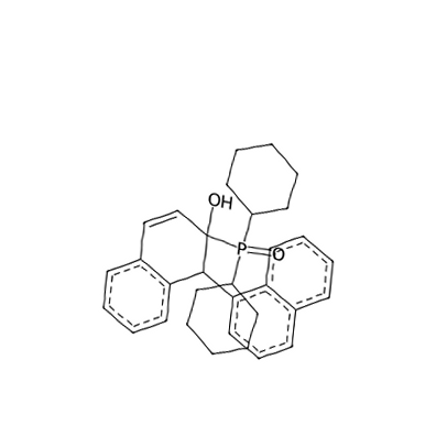 O=P(C1CCCCC1)(C1CCCCC1)C1(O)C=Cc2ccccc2C1c1cccc2ccccc12